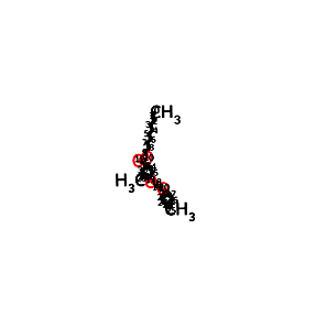 CCCCCCCCCCOC(=O)c1ccc(OCCOc2ccc(C)cc2)c(C)c1